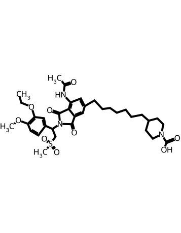 CCOc1cc(C(CS(C)(=O)=O)N2C(=O)c3cc(CCCCCCCC4CCN(C(=O)O)CC4)cc(NC(C)=O)c3C2=O)ccc1OC